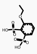 CCOc1cccc(S(=O)(=O)O)c1S(=O)(=O)O